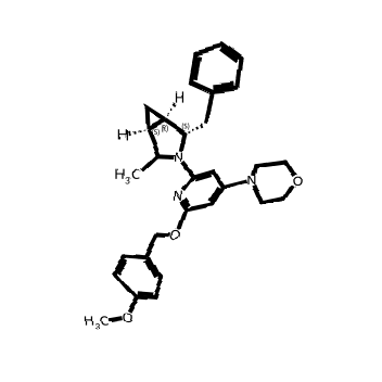 COc1ccc(COc2cc(N3CCOCC3)cc(N3C(C)[C@H]4C[C@H]4[C@@H]3Cc3ccccc3)n2)cc1